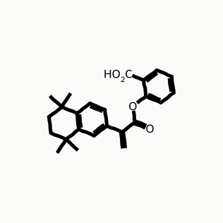 C=C(C(=O)Oc1ccccc1C(=O)O)c1ccc2c(c1)C(C)(C)CCC2(C)C